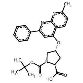 Cc1ccc2c(O[C@@H]3C[C@@H](C(=O)O)N(C(=O)OC(C)(C)C)C3)cc(-c3ccccc3)nc2n1